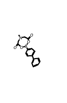 CN1CC(=O)OB(c2ccc(-c3ccccc3)cc2)OC(=O)C1